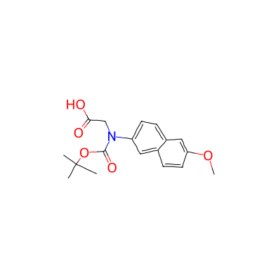 COc1ccc2cc(N(CC(=O)O)C(=O)OC(C)(C)C)ccc2c1